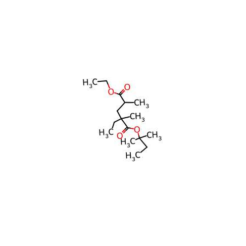 CCOC(=O)C(C)CC(C)(CC)C(=O)OC(C)(C)CC